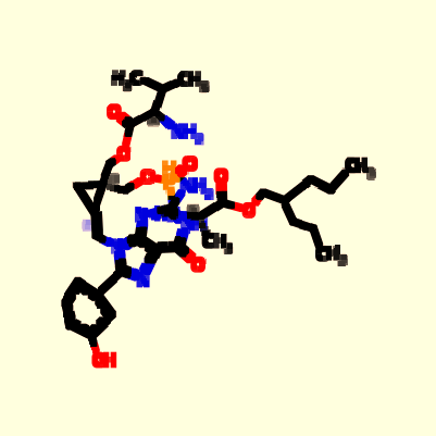 CCCC(CCC)COC(=O)[C@H](C)N[PH](=O)OC[C@@]1(COC(=O)[C@H](N)C(C)C)C/C1=C/n1c(-c2cccc(O)c2)nc2c(=O)[nH]c(N)nc21